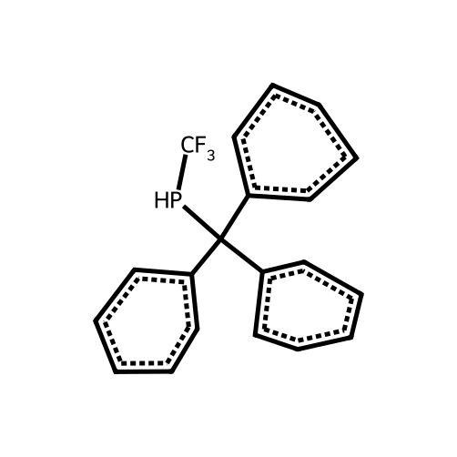 FC(F)(F)PC(c1ccccc1)(c1ccccc1)c1ccccc1